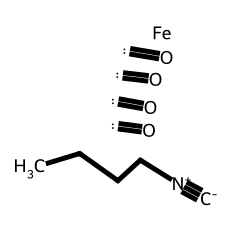 [C-]#[N+]CCCC.[C]=O.[C]=O.[C]=O.[C]=O.[Fe]